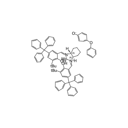 CC(C)(C)c1cc(C(c2ccccc2)(c2ccccc2)c2ccccc2)cc(C=[N+]2[Mn][N+](=Cc3cc(C(c4ccccc4)(c4ccccc4)c4ccccc4)cc(C(C)(C)C)c3O)[C@@H]3CCCC[C@H]32)c1O.[O-]c1ccc(Oc2ccccc2)cc1